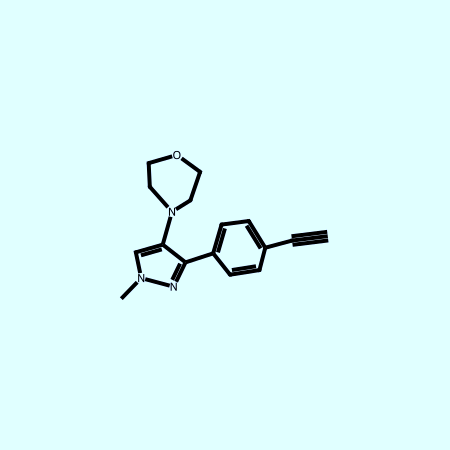 C#Cc1ccc(-c2nn(C)cc2N2CCOCC2)cc1